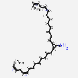 CCCCC/C=C\C/C=C\CCCCCCCCC1C(N)C1CCCCCCC/C=C\C/C=C\CCCCC